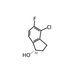 O[C@H]1CCc2c1ccc(F)c2Cl